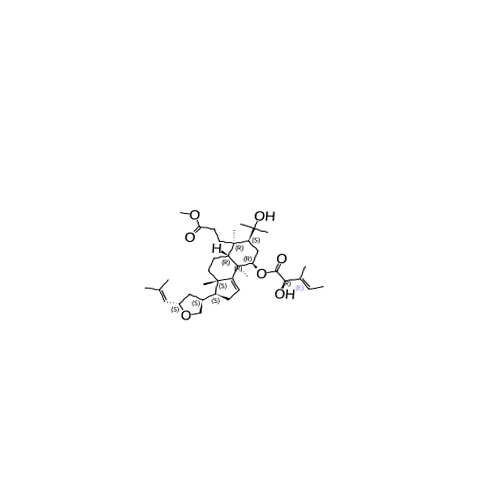 C/C=C(\C)[C@@H](O)C(=O)O[C@@H]1C[C@H](C(C)(C)O)[C@](C)(CCC(=O)OC)[C@H]2CC[C@]3(C)C(=CC[C@H]3[C@H]3CO[C@H](C=C(C)C)C3)[C@@]21C